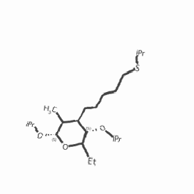 CCC1O[C@H](OC(C)C)C(C)C(CCCCCSC(C)C)[C@@H]1OC(C)C